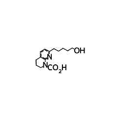 O=C(O)N1CCCc2ccc(CCCCCO)nc21